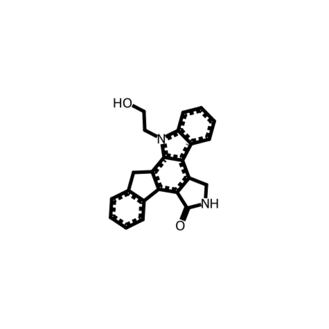 O=C1NCc2c1c1c(c3c2c2ccccc2n3CCO)Cc2ccccc2-1